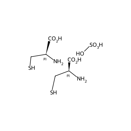 N[C@@H](CS)C(=O)O.N[C@@H](CS)C(=O)O.O=S(=O)(O)O